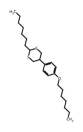 CCCCCCCOc1ccc(C2CSC(CCCCCCC)SC2)cc1